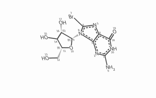 Nc1nc2c(nc(Br)n2[C@@H]2O[C@H](CO)C(O)[C@@H]2O)c(=O)[nH]1